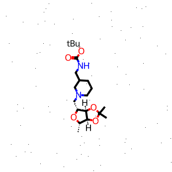 C[C@@H]1O[C@H](CN2CCCC(CNC(=O)OC(C)(C)C)C2)[C@H]2OC(C)(C)O[C@H]21